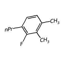 CCCc1ccc(C)c(C)c1F